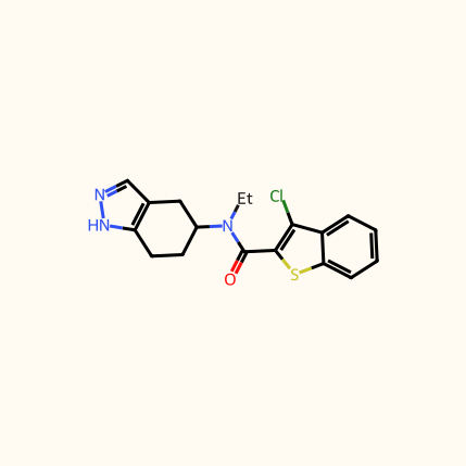 CCN(C(=O)c1sc2ccccc2c1Cl)C1CCc2[nH]ncc2C1